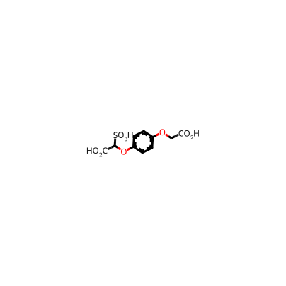 O=C(O)COc1ccc(OC(C(=O)O)S(=O)(=O)O)cc1